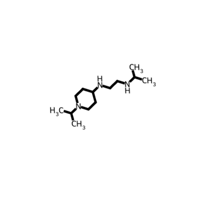 CC(C)NCCNC1CCN(C(C)C)CC1